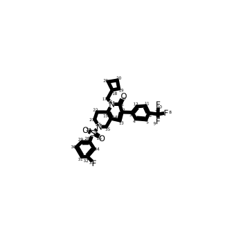 O=c1c(-c2ccc(C(F)(F)F)cc2)cc2c(n1CC1CCC1)CCN(S(=O)(=O)c1cccc(F)c1)C2